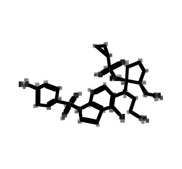 CCCN(c1cnc2c(ccn2S(=O)(=O)c2ccc(C)cc2)c1Cl)[C@]1(NS(=O)(=O)C2CC2)CCC[C@H]1CC